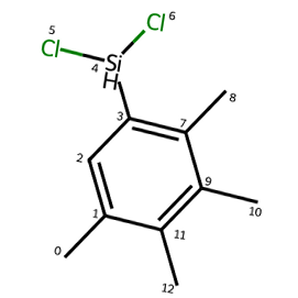 Cc1cc([SiH](Cl)Cl)c(C)c(C)c1C